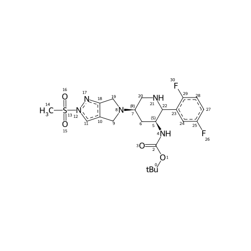 CC(C)(C)OC(=O)N[C@H]1C[C@@H](N2Cc3cn(S(C)(=O)=O)nc3C2)CNC1c1cc(F)ccc1F